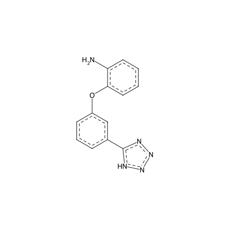 Nc1ccccc1Oc1cccc(-c2nnn[nH]2)c1